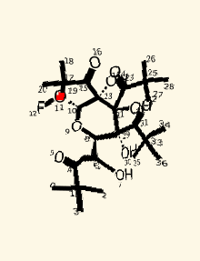 CC(C)(C)C(=O)C(O)[C@H]1O[C@H](OF)[C@@](O)(C(=O)C(C)(C)C)[C@](O)(C(=O)C(C)(C)C)[C@@]1(O)C(=O)C(C)(C)C